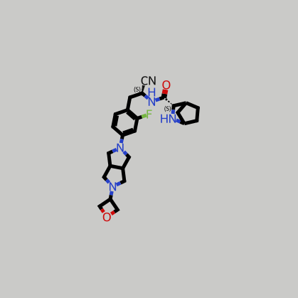 N#C[C@H](Cc1ccc(N2CC3CN(C4COC4)CC3C2)cc1F)NC(=O)[C@H]1NC2CCC1C2